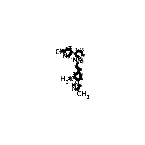 Cc1cn(-c2ccc(/C=C/c3nc4n(n3)CCC[C@@H]4c3ccc(Cl)nc3)cc2C)cn1